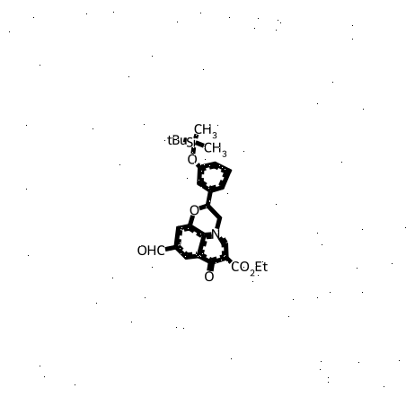 CCOC(=O)c1cn2c3c(cc(C=O)cc3c1=O)OC(c1cccc(O[Si](C)(C)C(C)(C)C)c1)C2